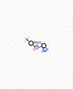 COc1ccc2ncn(C)c2c1CNC(=O)c1ccc(C(C)(F)F)cc1